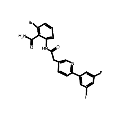 NC(=O)c1c(Br)cccc1NC(=O)Cc1ccc(-c2cc(F)cc(F)c2)nc1